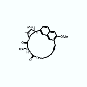 COc1cc2ccc3cc2cc1/C=C\CCCOC(=O)N[C@@H](C(C)(C)C)C(=O)N1C[C@@]3(OC)C[C@H]1C